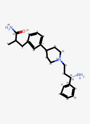 CC(Cc1cccc(C2CCN(CC[C@H](N)c3ccccc3)CC2)c1)C(N)=O